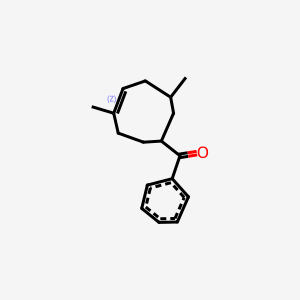 C/C1=C/CC(C)CC(C(=O)c2ccccc2)CC1